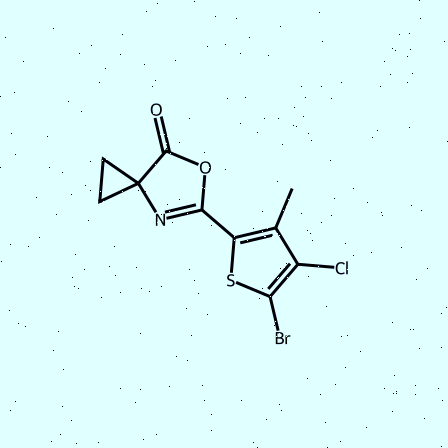 Cc1c(C2=NC3(CC3)C(=O)O2)sc(Br)c1Cl